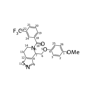 COc1ccc(OCC2c3cnsc3CCN2C(=O)c2cccc(C(F)(F)F)c2)cc1